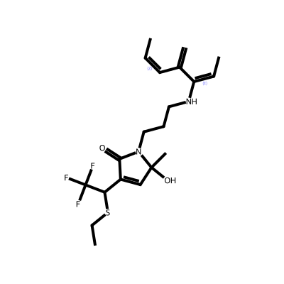 C=C(/C=C\C)/C(=C\C)NCCCN1C(=O)C(C(SCC)C(F)(F)F)=CC1(C)O